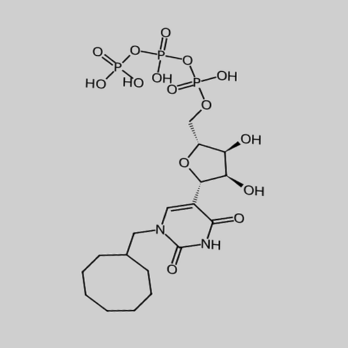 O=c1[nH]c(=O)n(CC2CCCCCCC2)cc1[C@@H]1O[C@H](COP(=O)(O)OP(=O)(O)OP(=O)(O)O)[C@@H](O)[C@H]1O